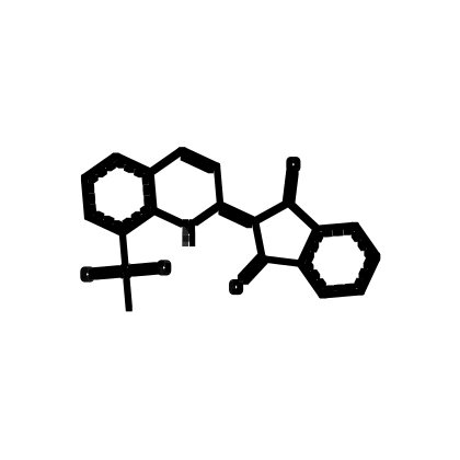 CS(=O)(=O)c1cccc2c1NC(=C1C(=O)c3ccccc3C1=O)C=C2